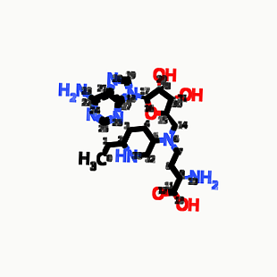 CCC1CCC(N(CC[C@H](N)C(=O)O)C[C@H]2O[C@@H](n3cnc4c(N)ncnc43)[C@H](O)[C@@H]2O)CN1